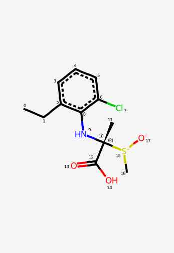 CCc1cccc(Cl)c1N[C@@](C)(C(=O)O)[S+](C)[O-]